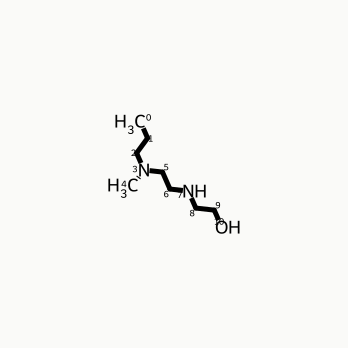 CCCN(C)CCNCCO